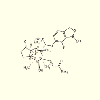 CNC(=O)/C=C/[C@]1(C)C[C@@H](C(Oc2ccc3c(c2F)B(O)OC3)C(=O)O)[C@@]2(C)[C@H](C)CC[C@]3(CCC(=O)[C@H]32)[C@@H](C)[C@@H]1O